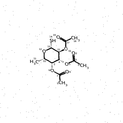 CC(=O)O[C@@H]1[C@H](OC(C)=O)[C@H](C)O[C@H](S)[C@H]1OC(C)=O